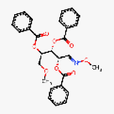 COC[C@@H](OC(=O)c1ccccc1)[C@H](OC(=O)c1ccccc1)[C@H](/C=N/OC)OC(=O)c1ccccc1